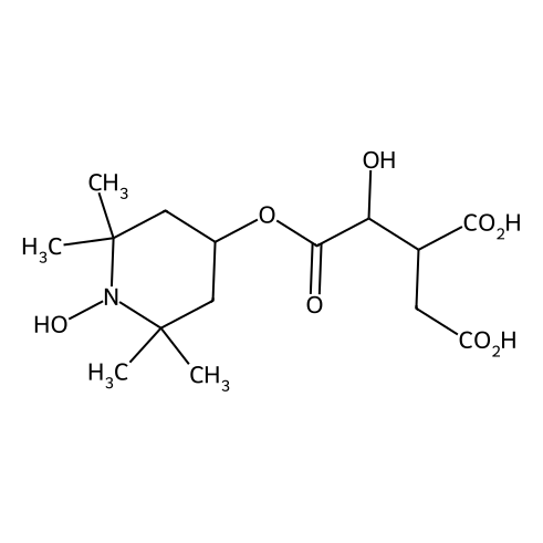 CC1(C)CC(OC(=O)C(O)C(CC(=O)O)C(=O)O)CC(C)(C)N1O